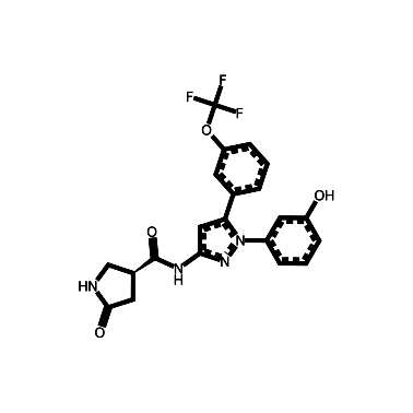 O=C1C[C@H](C(=O)Nc2cc(-c3cccc(OC(F)(F)F)c3)n(-c3cccc(O)c3)n2)CN1